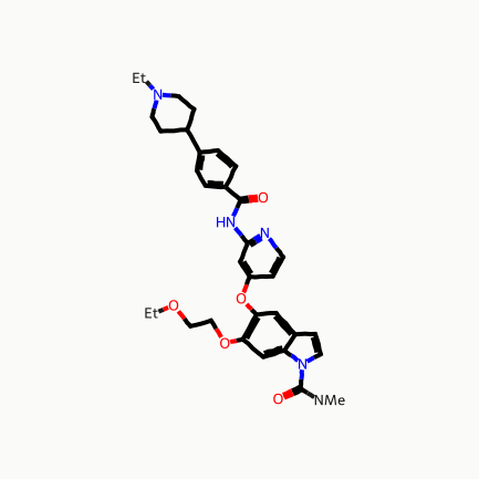 CCOCCOc1cc2c(ccn2C(=O)NC)cc1Oc1ccnc(NC(=O)c2ccc(C3CCN(CC)CC3)cc2)c1